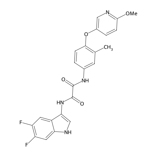 COc1ccc(Oc2ccc(NC(=O)C(=O)Nc3c[nH]c4cc(F)c(F)cc34)cc2C)cn1